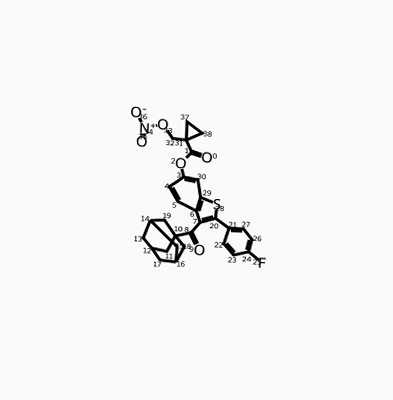 O=C(Oc1ccc2c(C(=O)C34CC5CC(CC(C5)C3)C4)c(-c3ccc(F)cc3)sc2c1)C1(CO[N+](=O)[O-])CC1